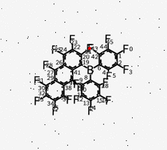 Fc1c(F)c(F)c(B(c2c(F)c(F)c(F)c(F)c2F)c2c(F)c(F)c(F)c3c(F)c4c(F)c(F)c(F)c(F)c4c(F)c23)c(F)c1F